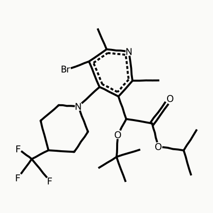 Cc1nc(C)c(C(OC(C)(C)C)C(=O)OC(C)C)c(N2CCC(C(F)(F)F)CC2)c1Br